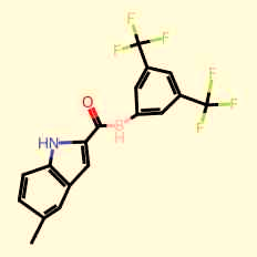 Cc1ccc2[nH]c(C(=O)Bc3cc(C(F)(F)F)cc(C(F)(F)F)c3)cc2c1